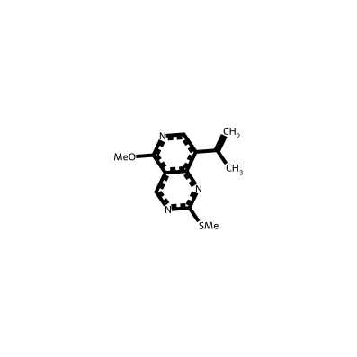 C=C(C)c1cnc(OC)c2cnc(SC)nc12